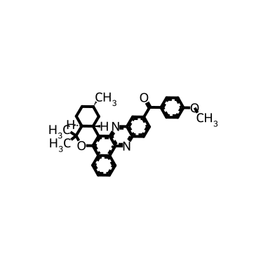 COc1ccc(C(=O)c2ccc3nc4c(nc3c2)c2c(c3ccccc34)OC(C)(C)[C@H]3CC[C@H](C)C[C@H]23)cc1